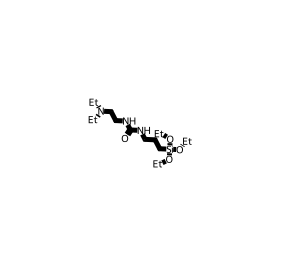 CCO[Si](CCCNC(=O)NCCN(CC)CC)(OCC)OCC